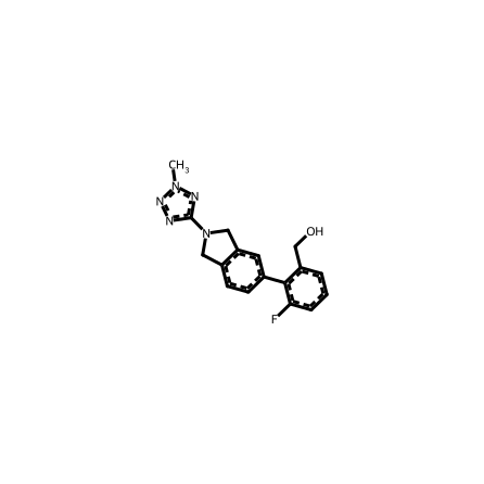 Cn1nnc(N2Cc3ccc(-c4c(F)cccc4CO)cc3C2)n1